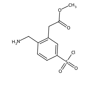 COC(=O)Cc1cc(S(=O)(=O)Cl)ccc1CN